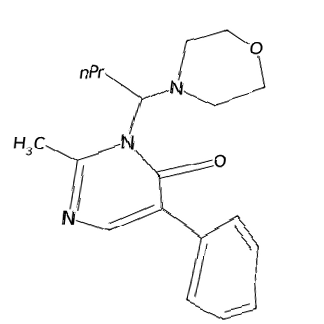 CCCC(N1CCOCC1)n1c(C)ncc(-c2ccccc2)c1=O